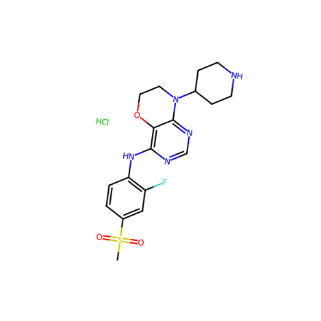 CS(=O)(=O)c1ccc(Nc2ncnc3c2OCCN3C2CCNCC2)c(F)c1.Cl